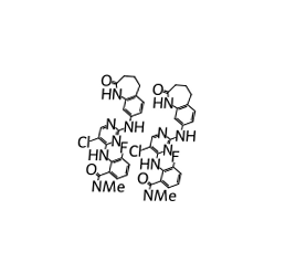 CNC(=O)c1cccc(F)c1Nc1nc(Nc2ccc3c(c2)NC(=O)CCC3)ncc1Cl.CNC(=O)c1cccc(F)c1Nc1nc(Nc2ccc3c(c2)NC(=O)CCC3)ncc1Cl